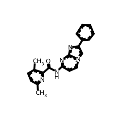 Cc1ccc(C)c(C(=O)Nc2ccn3cc(-c4ccccc4)nc3n2)n1